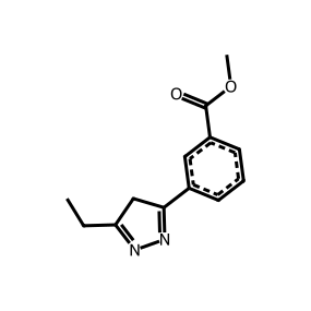 CCC1=NN=C(c2cccc(C(=O)OC)c2)C1